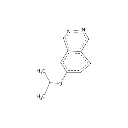 CC(C)Oc1ccc2cnncc2c1